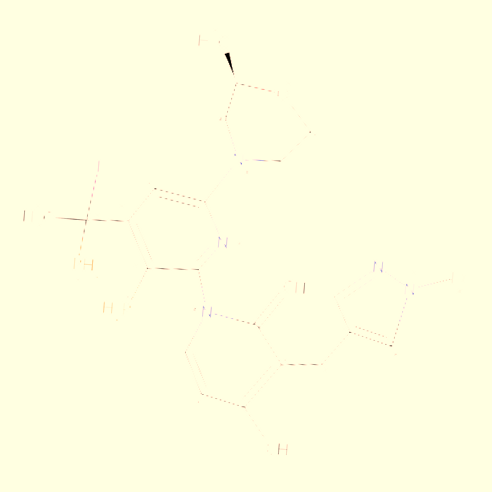 C=C1C(Cc2cnn(CC)c2)=C(C)C=CN1c1nc(N2CCO[C@H](C)C2)cc(C(C)(P)I)c1P